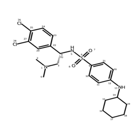 CN(C)C[C@@H](NS(=O)(=O)c1ccc(NC2CCCCC2)cc1)c1ccc(Cl)c(Cl)c1